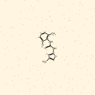 Cc1coc(NC(=S)Nc2c(C)cccc2Cl)n1